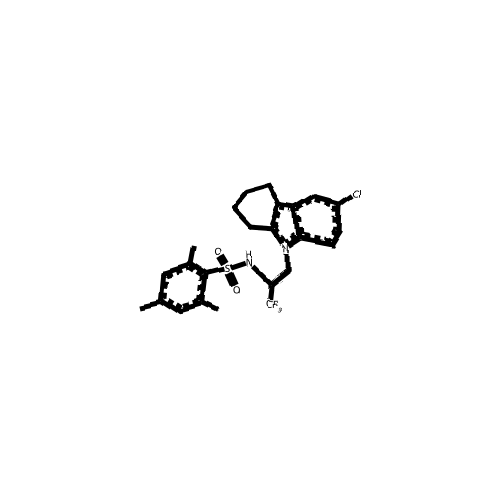 Cc1cc(C)c(S(=O)(=O)NC(Cn2c3c(c4cc(Cl)ccc42)CCCC3)C(F)(F)F)c(C)c1